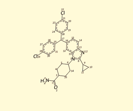 NC(=O)C1CCC(n2c(C3CC3)nc3ccc(C(c4ccc(Cl)cc4)c4ccc(Cl)cc4)cc32)CC1